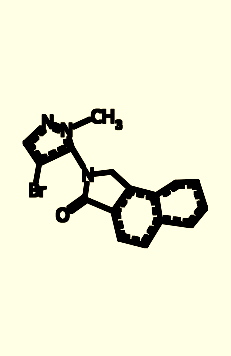 Cn1ncc(Br)c1N1Cc2c(ccc3ccccc23)C1=O